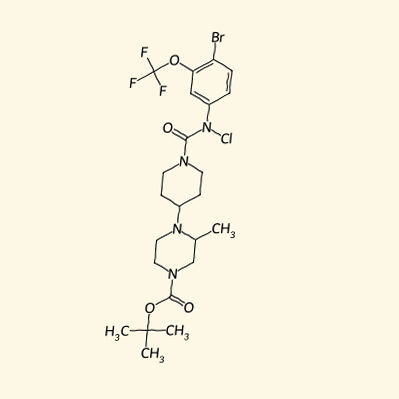 CC1CN(C(=O)OC(C)(C)C)CCN1C1CCN(C(=O)N(Cl)c2ccc(Br)c(OC(F)(F)F)c2)CC1